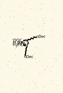 CCCCCCCCCCCCCCCCN1CCN(CCCCCCCCCCCCCCCC)CCN(C(C(=O)[O-])[N+](C)(C)C)CC1